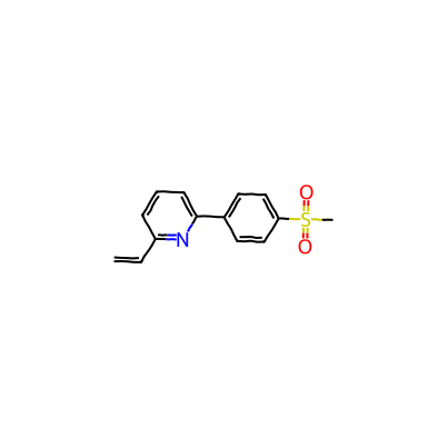 C=Cc1cccc(-c2ccc(S(C)(=O)=O)cc2)n1